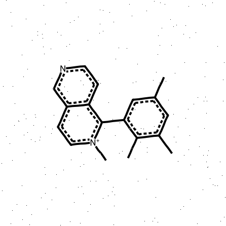 Cc1cc(C)c(C)c(-c2c3ccncc3cc[n+]2C)c1